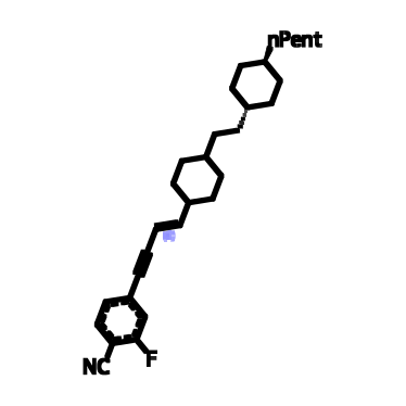 CCCCC[C@H]1CC[C@H](CCC2CCC(/C=C/C#Cc3ccc(C#N)c(F)c3)CC2)CC1